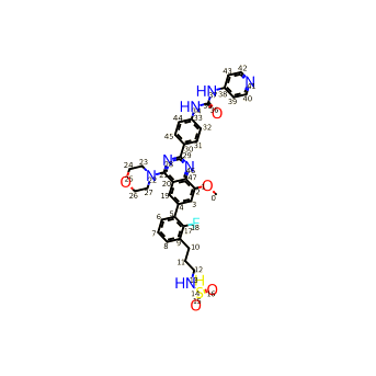 COc1cc(-c2cccc(CCCN[SH](=O)=O)c2F)cc2c(N3CCOCC3)nc(-c3ccc(NC(=O)Nc4ccncc4)cc3)nc12